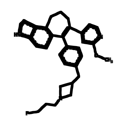 COc1cc(C2=C(c3ccc(CC4CN(CCCF)C4)cc3)c3ccc4[nH]ccc4c3CCC2)ccn1